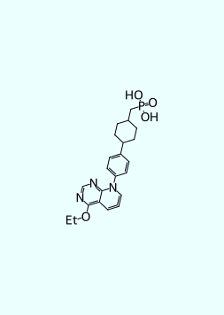 CCOc1ncnc2c1C=C=CN2c1ccc(C2CCC(CP(=O)(O)O)CC2)cc1